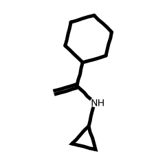 C=C(NC1CC1)C1CCCCC1